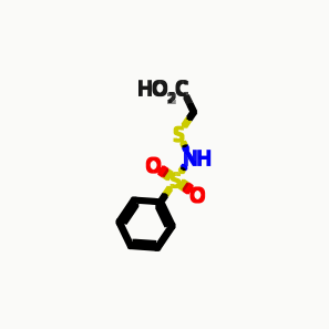 O=C(O)CSNS(=O)(=O)c1ccccc1